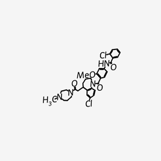 COc1cc(NC(=O)c2ccccc2Cl)ccc1C(=O)N1CCCC(CC(=O)N2CCCN(C)CC2)c2cc(Cl)ccc21